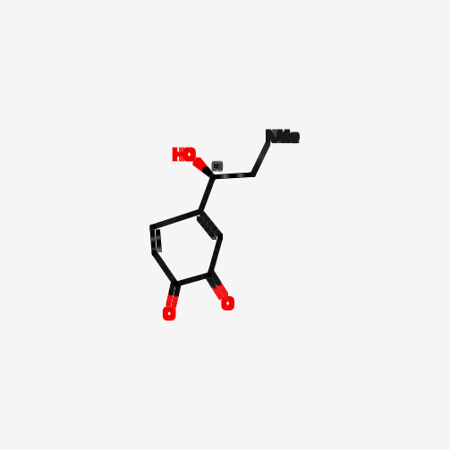 CNC[C@H](O)C1=CC(=O)C(=O)C=C1